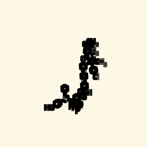 Cc1c(C(=O)N2CCN(S(C)(=O)=O)CC2)c(-c2cccc(N3CCN(c4ccc(NS(=O)(=O)c5ccc(N[C@H](CCN6CCC(O)CC6)CSc6ccccc6)c(S(=O)(=O)C(F)(F)F)c5)cc4)CC3)c2)c(-c2ccc(Cl)cc2)n1C